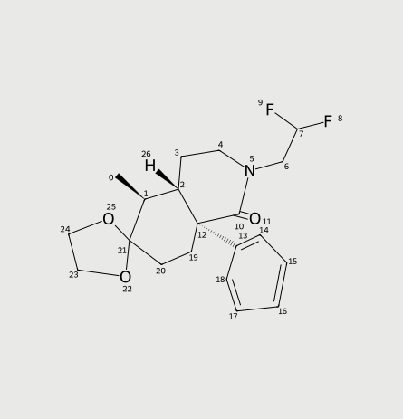 C[C@H]1[C@@H]2CCN(CC(F)F)C(=O)[C@@]2(c2ccccc2)CCC12OCCO2